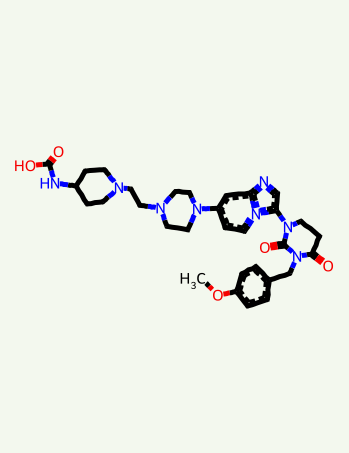 COc1ccc(CN2C(=O)CCN(c3cnc4cc(N5CCN(CCN6CCC(NC(=O)O)CC6)CC5)ccn34)C2=O)cc1